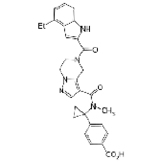 CCc1cccc2[nH]c(C(=O)N3CCn4ncc(C(=O)N(C)C5(c6ccc(C(=O)O)cc6)CC5)c4C3)cc12